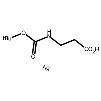 CC(C)(C)OC(=O)NCCC(=O)O.[Ag]